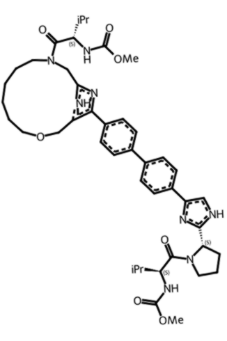 COC(=O)N[C@H](C(=O)N1CCCCCCOCc2[nH]c(nc2-c2ccc(-c3ccc(-c4c[nH]c([C@@H]5CCCN5C(=O)[C@@H](NC(=O)OC)C(C)C)n4)cc3)cc2)C1)C(C)C